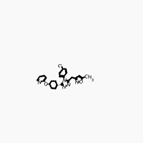 Cc1cc(Cc2nnc([C@H]3CC[C@H](Oc4ccccn4)CC3)n2-c2ccc(Cl)cc2)no1